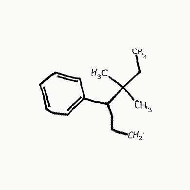 [CH2]CC(c1ccccc1)C(C)(C)CC